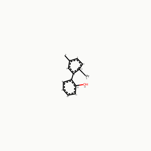 Cc1ccc(C(C)C)c(-c2ccccc2O)c1